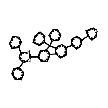 c1ccc(-c2cc(-c3ccccc3)nc(-c3ccc4c(c3)C(c3ccccc3)(c3ccccc3)c3cc(-c5ccc(-c6ccncc6)cc5)ccc3-4)n2)cc1